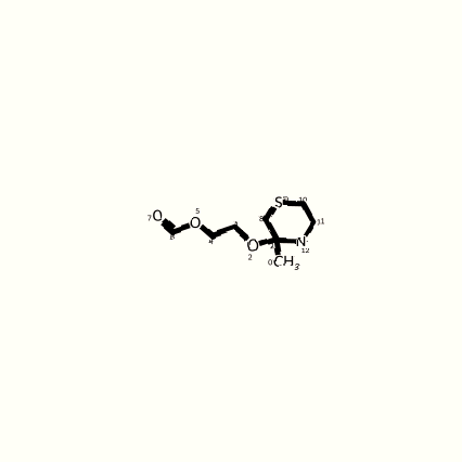 CC1(OCCOC=O)CSCC[N]1